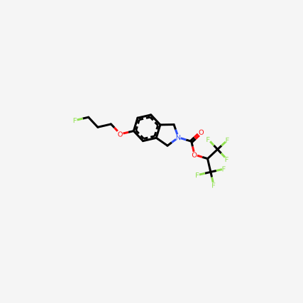 O=C(OC(C(F)(F)F)C(F)(F)F)N1Cc2ccc(OCCCF)cc2C1